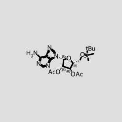 CC(=O)O[C@H]1[C@H](OC(C)=O)[C@@H](CO[Si](C)(C)C(C)(C)C)O[C@H]1n1cnc2c(N)ncnc21